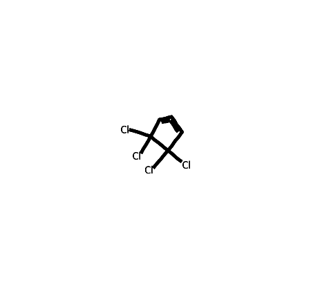 ClC1(Cl)C=C=CC1(Cl)Cl